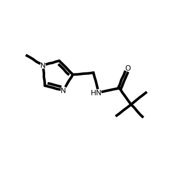 Cn1cnc(CNC(=O)C(C)(C)C)c1